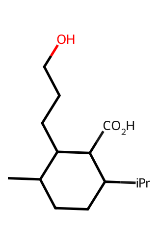 CC(C)C1CCC(C)C(CCCO)C1C(=O)O